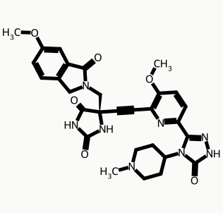 COc1ccc2c(c1)C(=O)N(C[C@@]1(C#Cc3nc(-c4n[nH]c(=O)n4C4CCN(C)CC4)ccc3OC)NC(=O)NC1=O)C2